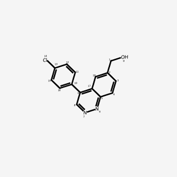 OCc1ccc2nncc(-c3ccc(Cl)cc3)c2c1